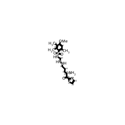 COc1cc(C)c(S(=O)(=O)NCNNCCC[C@H](N)C(=O)c2nccs2)c(C)c1C